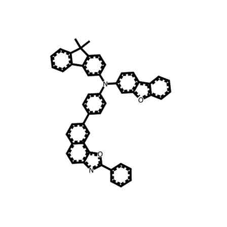 CC1(C)c2ccccc2-c2cc(N(c3ccc(-c4ccc5ccc6nc(-c7ccccc7)oc6c5c4)cc3)c3ccc4c(c3)oc3ccccc34)ccc21